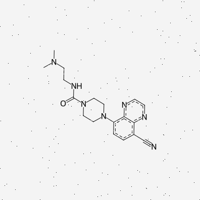 CN(C)CCNC(=O)N1CCN(c2ccc(C#N)c3nccnc23)CC1